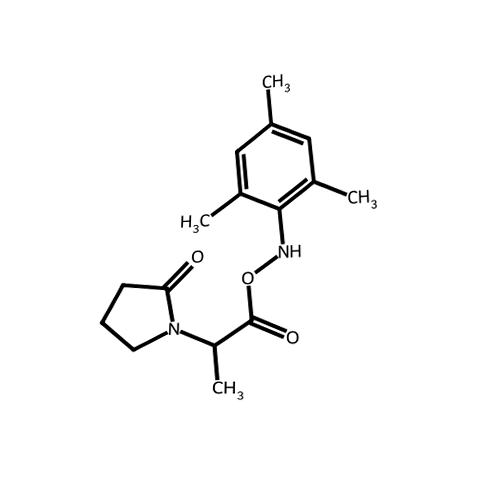 Cc1cc(C)c(NOC(=O)C(C)N2CCCC2=O)c(C)c1